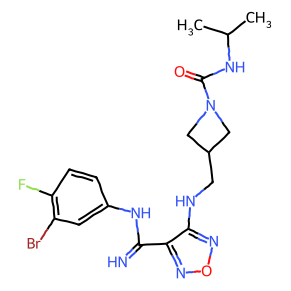 CC(C)NC(=O)N1CC(CNc2nonc2C(=N)Nc2ccc(F)c(Br)c2)C1